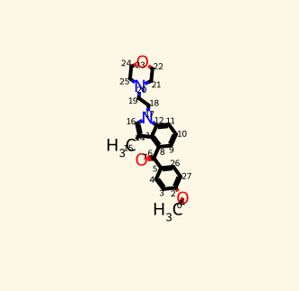 COc1ccc(C(=O)c2cccc3c2c(C)cn3CCN2CCOCC2)cc1